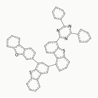 c1ccc(-c2nc(-c3ccccc3)nc(-c3cccc4c3sc3cccc(-c5cc(-c6ccc7c(c6)oc6ccccc67)c6sc7ccccc7c6c5)c34)n2)cc1